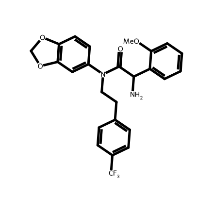 COc1ccccc1C(N)C(=O)N(CCc1ccc(C(F)(F)F)cc1)c1ccc2c(c1)OCO2